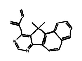 C=CC(=C)c1ncnc2c1C(C)(C)c1c-2ccc2ccccc12